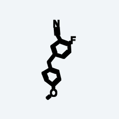 COc1ccc(Cc2ccc(F)c(C#N)c2)cc1